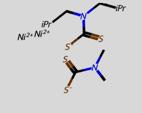 CC(C)CN(CC(C)C)C(=S)[S-].CN(C)C(=S)[S-].[Ni+2].[Ni+2]